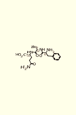 CC[C@H](C)[C@H](NC(=O)[C@@H](N)Cc1ccccc1)C(=O)N[C@@H](CCC(N)=O)C(=O)O